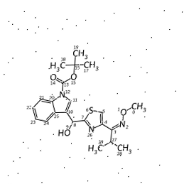 CO/N=C(\c1csc(C(O)c2cn(C(=O)OC(C)(C)C)c3ccccc23)n1)C(C)C